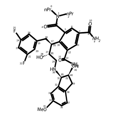 CCCN(CCC)C(=O)c1cc(C(N)=O)cc(C(N)=O)c1[C@H](Cc1cc(F)cc(F)c1)[C@@H](O)CN[C@@H]1c2cc(OC)ccc2C[C@@H]1O